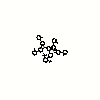 Cc1ccccc1-c1ccc2c(c1)c1cc(-c3ccccc3C)ccc1n2-c1ccc(C#N)c(-c2cc(-c3c(C(F)(F)F)cccc3C(F)(F)F)ccc2-n2c3ccc(-c4ccccc4C)cc3c3cc(-c4ccccc4C)ccc32)c1